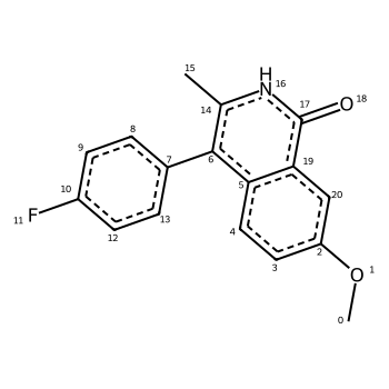 COc1ccc2c(-c3ccc(F)cc3)c(C)[nH]c(=O)c2c1